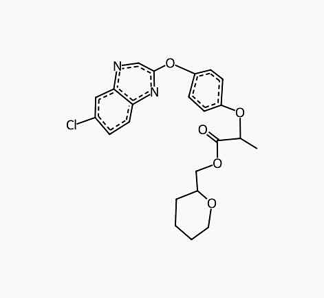 CC(Oc1ccc(Oc2cnc3cc(Cl)ccc3n2)cc1)C(=O)OCC1CCCCO1